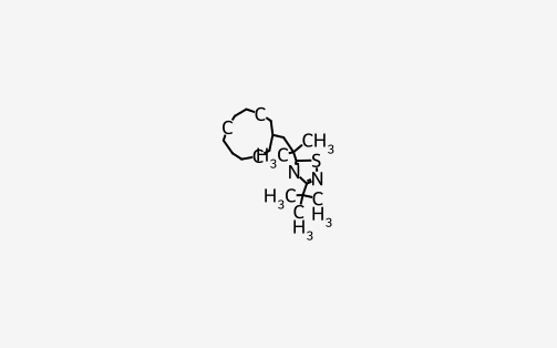 CC(C)(C)c1nsc(C(C)(C)CC2CCCCCCCCCC2)n1